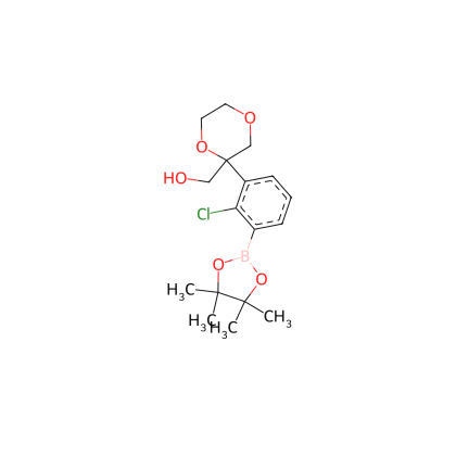 CC1(C)OB(c2cccc(C3(CO)COCCO3)c2Cl)OC1(C)C